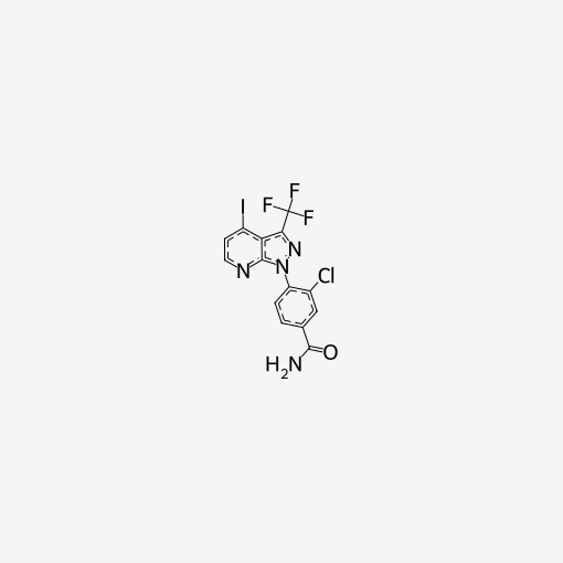 NC(=O)c1ccc(-n2nc(C(F)(F)F)c3c(I)ccnc32)c(Cl)c1